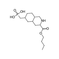 CCCCOC(=O)C1CC2CC(CP(=O)(O)O)CCC2CN1